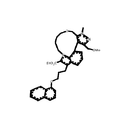 CCOC(=O)c1c(CCCOc2cccc3ccccc23)c2cccc3c2n1CCCCOCc1c-3c(COC)nn1C